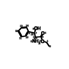 CCOC(=O)[C@H](N)[C@H](O)c1ccccc1